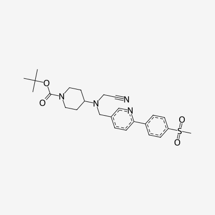 CC(C)(C)OC(=O)N1CCC(N(CC#N)Cc2ccc(-c3ccc(S(C)(=O)=O)cc3)nc2)CC1